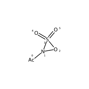 CC(=O)N1OS1(=O)=O